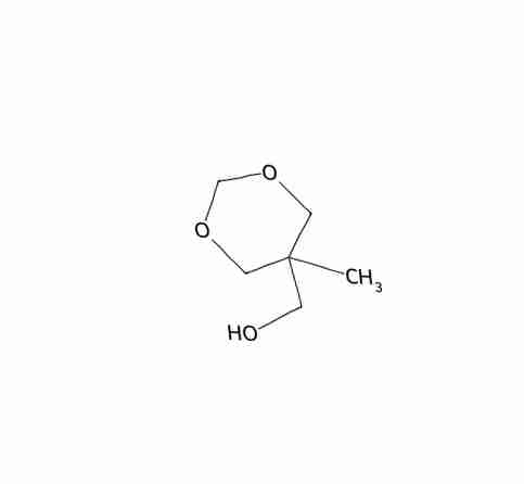 CC1(CO)COCOC1